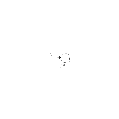 C[C@H]1CCCN1CF